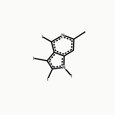 Cc1cc2c(c(I)n1)c(I)c(I)n2I